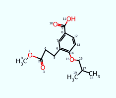 COC(=O)CCc1cc(C(=O)O)ccc1OCC(C)C